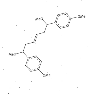 COc1ccc(C(CC=CCC(OC)c2ccc(OC)cc2)OC)cc1